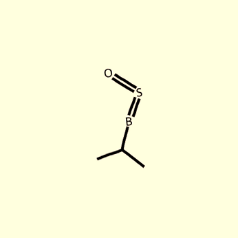 CC(C)B=S=O